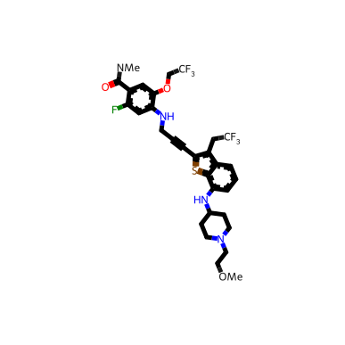 CNC(=O)c1cc(OCC(F)(F)F)c(NCC#Cc2sc3c(NC4CCN(CCOC)CC4)cccc3c2CC(F)(F)F)cc1F